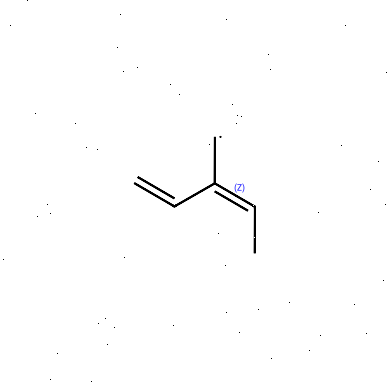 [CH2]/C(C=C)=C/C